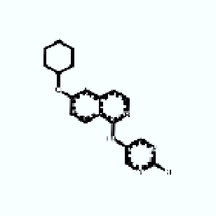 Clc1ncc(Nc2nccc3cc(OC4CCCCC4)ccc23)cn1